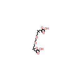 CC(C)(CCCOCCCOCCCC(C)(C)Cc1cocc(O)c1=O)Cc1cocc(O)c1=O